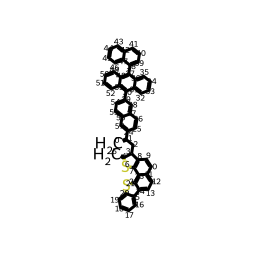 C=C(CC1C(=C)Sc2c1ccc1ccc3c4ccccc4sc3c21)c1ccc2cc(-c3c4ccccc4c(-c4cccc5ccccc45)c4ccccc34)ccc2c1